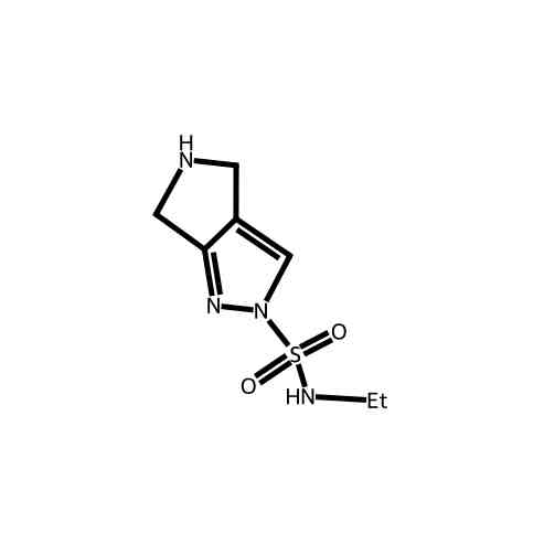 CCNS(=O)(=O)n1cc2c(n1)CNC2